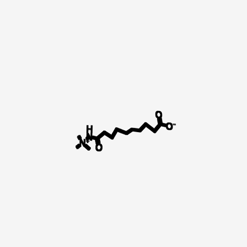 C[N+](C)(C)NC(=O)CCCCCCCCC(=O)[O-]